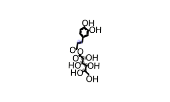 O=C(/C=C/c1ccc(O)c(O)c1)OC(=O)[C@H](O)[C@@H](O)[C@H](O)[C@H](O)CO